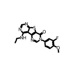 CCNc1ncnc2sc3c(=O)n(-c4ccc(OC)c(F)c4)cnc3c12